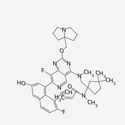 C#Cc1c(F)ccc2cc(O)cc(-c3ncc4c(N(C)CC5(N(C)C(=O)C=C)CCC(C)(C)C5)nc(OCC56CCCN5CCC6)nc4c3F)c12